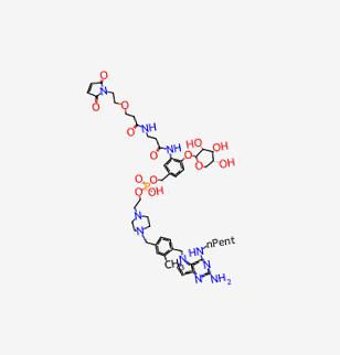 CCCCCNc1nc(N)nc2ccn(Cc3ccc(CN4CCN(CCOP(=O)(O)OCc5ccc(O[C@@H]6OC[C@@H](O)[C@H](O)[C@H]6O)c(NC(=O)CCNC(=O)CCOCCN6C(=O)C=CC6=O)c5)CC4)cc3C)c12